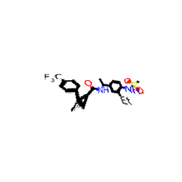 CCc1cc(C(C)NC(=O)C2C[C@]2(C)c2ccc(C(F)(F)F)cc2)ccc1NS(C)(=O)=O